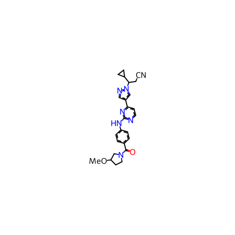 COC1CCN(C(=O)c2ccc(Nc3nccc(-c4cnn(C(CC#N)C5CC5)c4)n3)cc2)C1